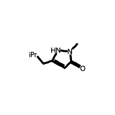 CC(C)Cc1cc(=O)n(C)[nH]1